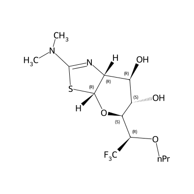 CCCO[C@H]([C@H]1O[C@@H]2SC(N(C)C)=N[C@@H]2[C@@H](O)[C@@H]1O)C(F)(F)F